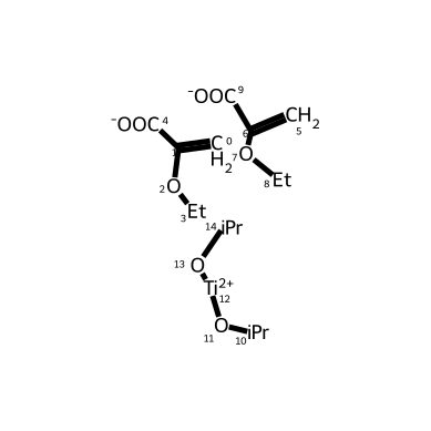 C=C(OCC)C(=O)[O-].C=C(OCC)C(=O)[O-].CC(C)[O][Ti+2][O]C(C)C